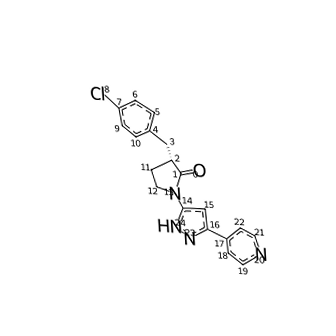 O=C1[C@@H](Cc2ccc(Cl)cc2)CCN1c1cc(-c2ccncc2)n[nH]1